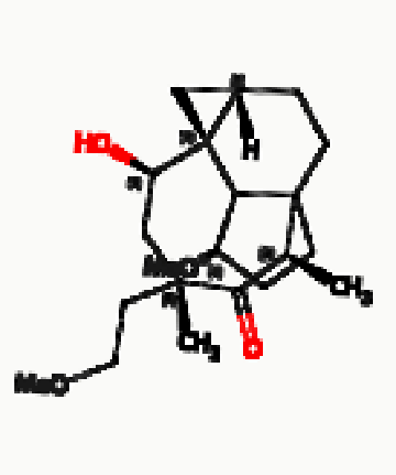 COCC[C@]1(C)C[C@@H](O)[C@]23C[C@@H]2CCC2(CC[C@@H](OC)C23)[C@@H](C)C1=O